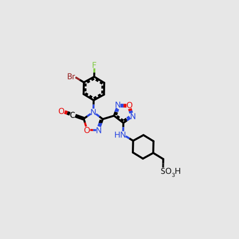 O=C=C1ON=C(c2nonc2NC2CCC(CS(=O)(=O)O)CC2)N1c1ccc(F)c(Br)c1